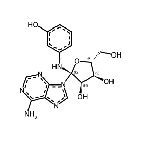 Nc1ncnc2c1ncn2[C@]1(Nc2cccc(O)c2)O[C@H](CO)[C@@H](O)[C@H]1O